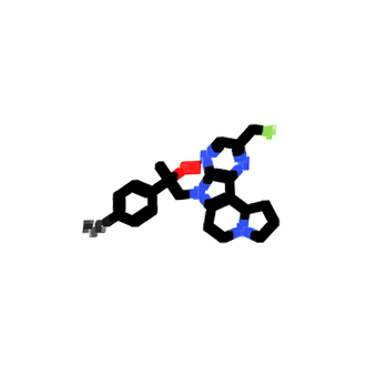 CC(O)(Cn1c2c(c3nc(CF)cnc31)C1CCCN1CC2)c1ccc(C(F)(F)F)cc1